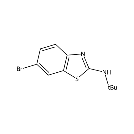 CC(C)(C)Nc1nc2ccc(Br)cc2s1